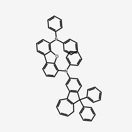 C1=CCC2=C(C=C1)c1cc(N(c3ccccc3)c3cccc4c3oc3c(N(c5ccccc5)c5ccccc5)cccc34)ccc1C2(c1ccccc1)c1ccccc1